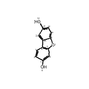 Oc1ccc2c(c1)oc1ccc(O)cc12